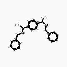 CC(NCc1ccccc1)c1ccc(C(C)NCc2ccccc2)cc1